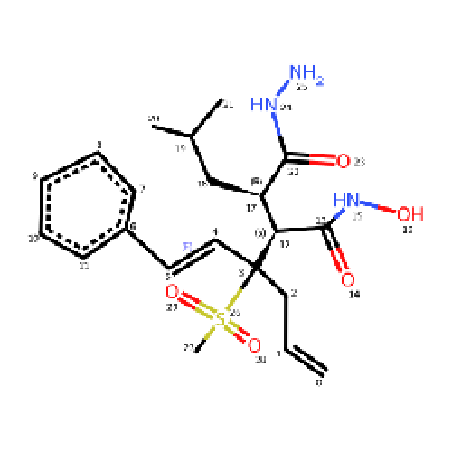 C=CCC(/C=C/c1ccccc1)([C@H](C(=O)NO)[C@@H](CC(C)C)C(=O)NN)S(C)(=O)=O